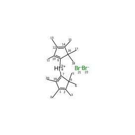 CC1=C(C)C(C)(C)[C]([Hf+2][C]2=C(C)C(C)=C(C)C2(C)C)=C1C.[Br-].[Br-]